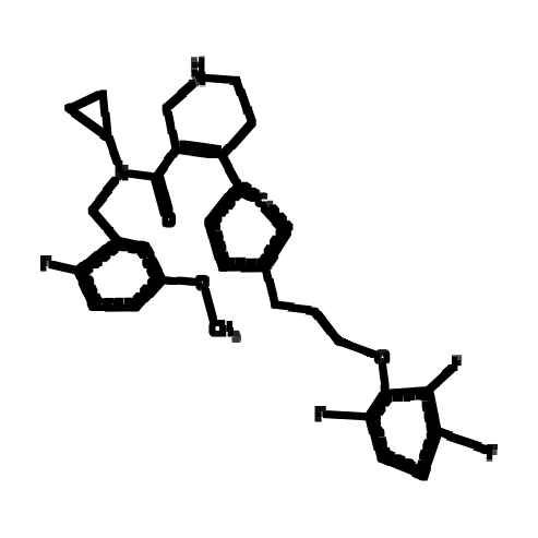 COc1ccc(F)c(CN(C(=O)C2=C(c3ccc(CCCOc4c(F)ccc(F)c4F)cc3)CCNC2)C2CC2)c1